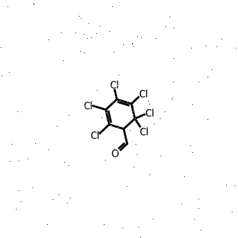 O=CC1C(Cl)=C(Cl)C(Cl)=C(Cl)C1(Cl)Cl